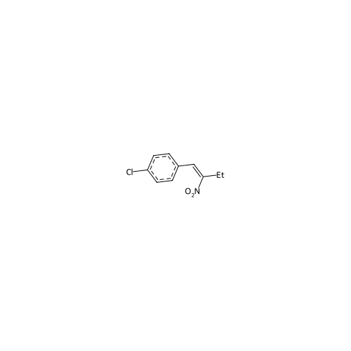 CCC(=Cc1ccc(Cl)cc1)[N+](=O)[O-]